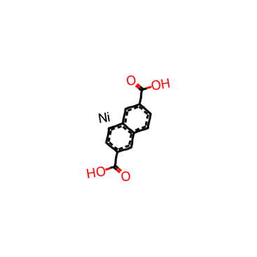 O=C(O)c1ccc2cc(C(=O)O)ccc2c1.[Ni]